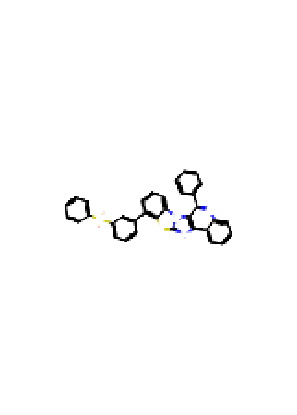 O=S(=O)(c1ccccc1)c1cccc(-c2cccc3c2sc2nc4c5ccccc5nc(-c5ccccc5)c4n23)c1